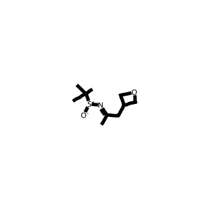 CC(CC1COC1)=N[S+]([O-])C(C)(C)C